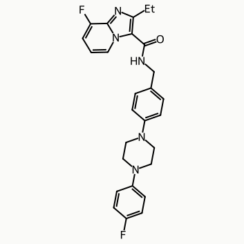 CCc1nc2c(F)cccn2c1C(=O)NCc1ccc(N2CCN(c3ccc(F)cc3)CC2)cc1